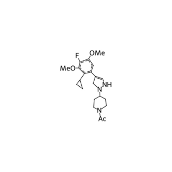 COc1cc(C2=CNN(C3CCN(C(C)=O)CC3)C2)c(C2CC2)c(OC)c1F